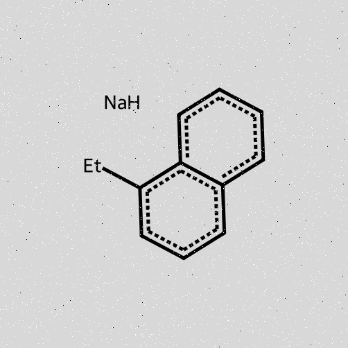 CCc1cccc2ccccc12.[NaH]